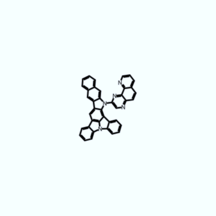 c1ccc2cc3c(cc2c1)c1cc2c4ccccc4n4c5ccccc5c(c1n3-c1cnc3ccc5cccnc5c3n1)c24